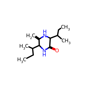 C=C1NC(C(C)CC)C(=O)NC1C(C)CC